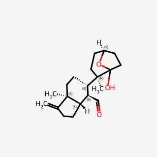 C=C1CC[C@H]2[C@H](C=O)[C@@H]([C@@]3(C)CC[C@H]4CCC3(O)O4)CC[C@]12C